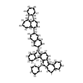 c1ccc(-n2c3ccc4ccccc4c3c3ccc4c(c5ccccc5n4-c4ccc5cc(-c6ccc7c8c(cccc68)-c6ccccc6-7)ccc5c4)c32)cc1